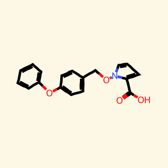 O=C(O)c1cccn1OCc1ccc(Oc2ccccc2)cc1